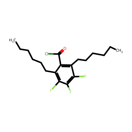 CCCCCCc1c(F)c(F)c(F)c(CCCCCC)c1C(=O)Cl